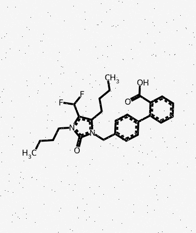 CCCCc1c(C(F)F)n(CCCC)c(=O)n1Cc1ccc(-c2ccccc2C(=O)O)cc1